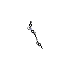 CC=Cc1ccc(OCCCCCCCCOc2ccc(/C=C/C(=O)c3ccc(F)cc3)cc2)cc1